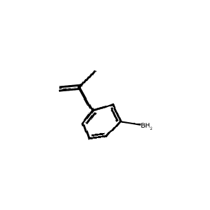 Bc1cccc(C(=C)C)c1